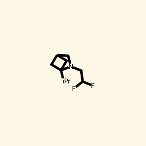 CC(C)C12CC(CN1CC(F)F)C2